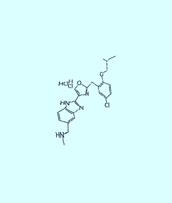 CNCc1ccc2[nH]c(-c3coc(Cc4cc(Cl)ccc4OCC(C)C)n3)nc2c1.Cl.Cl